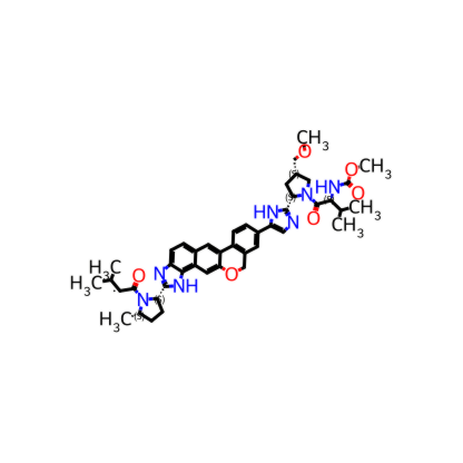 COC[C@H]1C[C@@H](c2ncc(-c3ccc4c(c3)COc3cc5c(ccc6nc([C@@H]7CC[C@H](C)N7C(=O)[CH]C(C)C)[nH]c65)cc3-4)[nH]2)N(C(=O)[C@@H](NC(=O)OC)C(C)C)C1